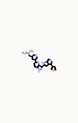 CN(C)Cc1cncc(-c2ccc3[nH]nc(-c4cc5c(-c6ccoc6)cncc5[nH]4)c3n2)c1